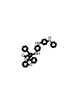 O=C1OC2(c3ccccc3Oc3ccccc32)c2cc(Nc3ccc(Nc4ccc(Nc5ccccc5)cc4)cc3)cc(-c3ccccc3)c21